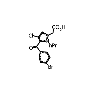 CCCn1c(CC(=O)O)cc(Cl)c1C(=O)c1ccc(Br)cc1